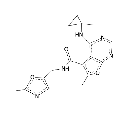 Cc1ncc(CNC(=O)c2c(C)oc3ncnc(NC4(C)CC4)c23)o1